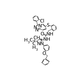 CC(C)(C)c1cc(NC(=O)NCc2ccccc2Sc2ccc3nnc(-c4ccccc4Cl)n3c2)n(-c2cccc(OCc3ccccc3)c2)n1